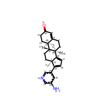 C[C@]12CC[C@H]3[C@@H](CCC4=CC(=O)CC[C@@]43C)C1=CC=C2c1cncc(N)c1